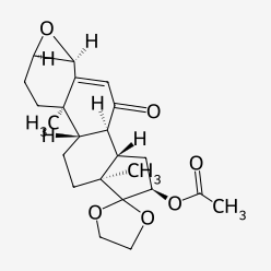 CC(=O)O[C@@H]1C[C@H]2[C@@H]3C(=O)C=C4[C@@H]5O[C@@H]5CC[C@]4(C)[C@H]3CC[C@]2(C)C12OCCO2